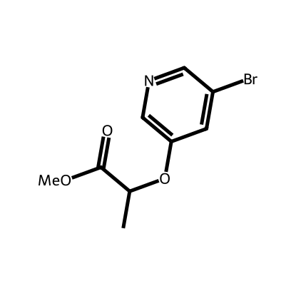 COC(=O)C(C)Oc1cncc(Br)c1